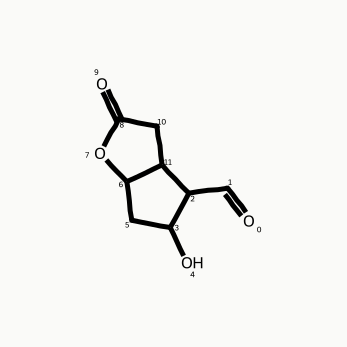 O=CC1C(O)CC2OC(=O)CC21